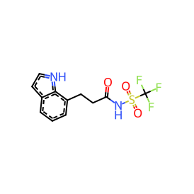 O=C(CCc1cccc2cc[nH]c12)NS(=O)(=O)C(F)(F)F